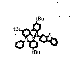 CC(C)(C)c1ccc2c(c1)-c1cc(C(C)(C)C)cc3c1N(B2c1ccc2c(c1)sc1ccccc12)c1ccc(C(C)(C)C)cc1N3c1ccccc1